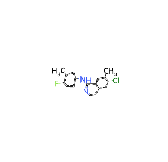 Cc1cc(Nc2nccc3cc(Cl)c(C)cc23)ccc1F